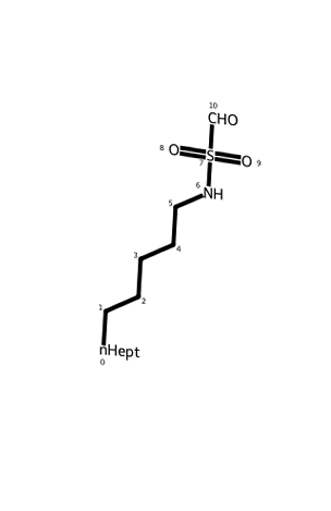 CCCCCCCCCCCCNS(=O)(=O)C=O